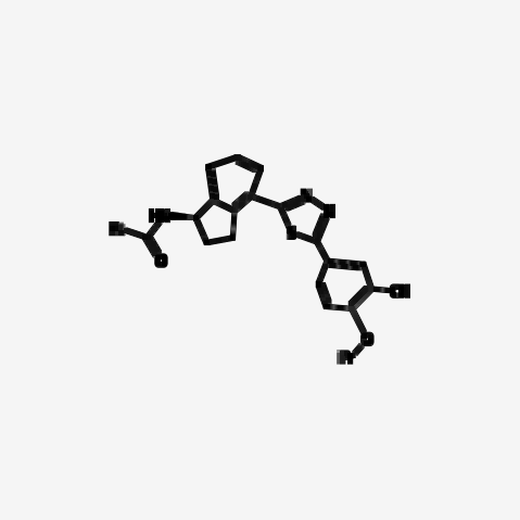 CCC(=O)N[C@@H]1CCc2c(-c3nnc(-c4ccc(OC(C)C)c(C#N)c4)s3)cccc21